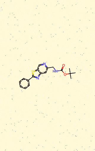 CC(C)(C)OC(=O)NCc1cc2nc(-c3ccccc3)sc2cn1